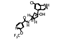 O=C(N[C@@H]1[C@@H]2C[C@@](O)(c3cc(Cl)cc4[nH]ncc34)C[C@@H]21)c1ccnc(OC(F)(F)F)c1